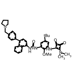 COc1c(NC(=O)Nc2ccc(-c3ccc(CN4CCCC4)cc3)c3ccccc23)cc(C(C)(C)C)cc1Nc1c(N(C)C)c(=O)c1=O